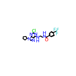 O=C(NCCNc1nc(Cl)nc2c1ncn2C1CCCC1)c1ccc(C(F)(F)F)cc1